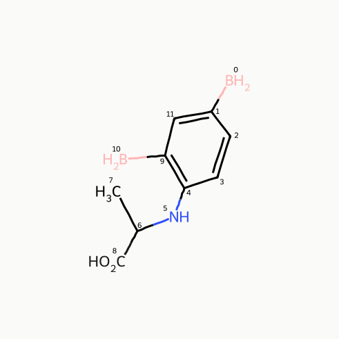 Bc1ccc(NC(C)C(=O)O)c(B)c1